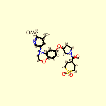 CCc1cc(N2CCOc3ccc(OC4CCN(C(=O)C5CCS(=O)(=O)CC5)C4)cc32)cnc1OC